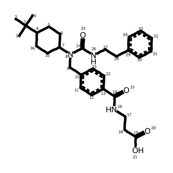 CC(C)(C)C1CCC(N(Cc2ccc(C(=O)NCCC(=O)O)cc2)C(=O)NCCc2ccccc2)CC1